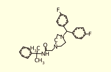 CC(C)(NC(=O)CN1CCN(C(c2ccc(F)cc2)c2ccc(F)cc2)CC1)c1ccccc1